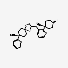 N#CC1(c2ccccn2)CCC2(CC1)OCC(Cc1cccnc1C1(C#N)CCC(=O)CC1)O2